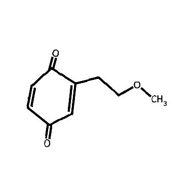 COCCC1=CC(=O)C=CC1=O